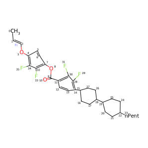 C/C=C/Oc1ccc(OC(=O)c2ccc(C3CCC(C4CCC(CCCCC)CC4)CC3)c(F)c2F)c(F)c1F